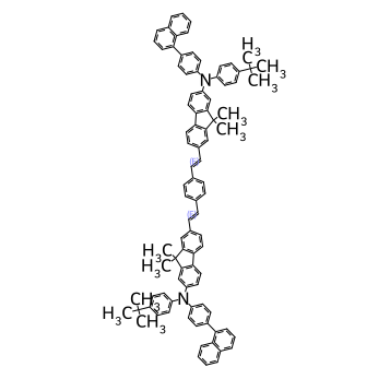 CC(C)(C)c1ccc(N(c2ccc(-c3cccc4ccccc34)cc2)c2ccc3c(c2)C(C)(C)c2cc(/C=C/c4ccc(/C=C/c5ccc6c(c5)C(C)(C)c5cc(N(c7ccc(-c8cccc9ccccc89)cc7)c7ccc(C(C)(C)C)cc7)ccc5-6)cc4)ccc2-3)cc1